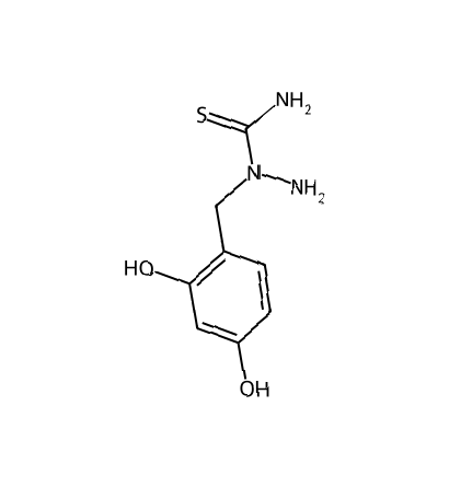 NC(=S)N(N)Cc1ccc(O)cc1O